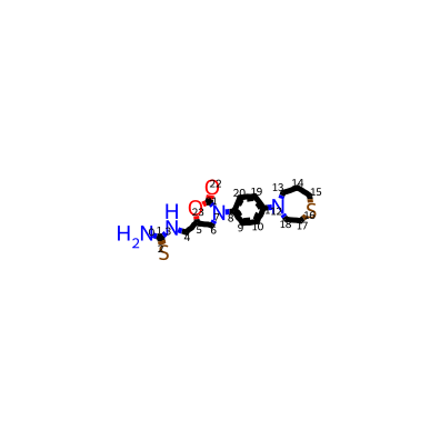 NC(=S)NCC1CN(c2ccc(N3CCCSCC3)cc2)C(=O)O1